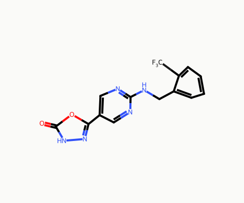 O=c1[nH]nc(-c2cnc(NCc3ccccc3C(F)(F)F)nc2)o1